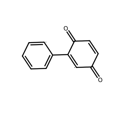 O=C1[C]=C(c2[c]cccc2)C(=O)C=C1